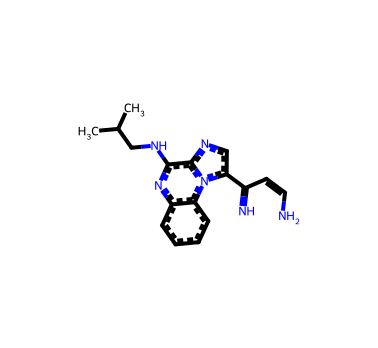 CC(C)CNc1nc2ccccc2n2c(C(=N)/C=C\N)cnc12